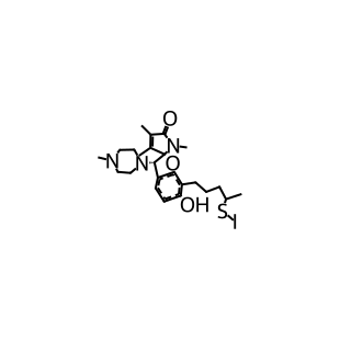 CC1=C(C)[C@@]2(Oc3c(ccc(O)c3CCCC(C)SI)[C@@H]2N2CCN(C)CC2)N(C)C1=O